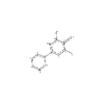 Cc1cc(-c2cccnc2)nn(C)c1=O